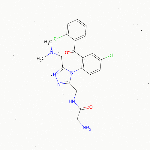 CN(C)Cc1nnc(CNC(=O)CN)n1-c1ccc(Cl)cc1C(=O)c1ccccc1Cl